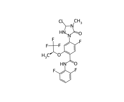 C[C@H](Oc1cc(N2NC(Cl)N(C)C2=O)c(F)cc1C(=O)Nc1c(F)cccc1F)C(F)(F)F